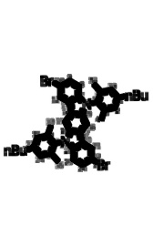 CCCCc1cc(C)c(-n2c3ccc(Br)cc3c3cc4c(cc32)c2cc(Br)ccc2n4-c2c(C)cc(CCCC)cc2C)c(C)c1